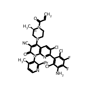 C=CC(=O)N1CCN(c2c(C#N)c(=O)n(-c3c(C)ccnc3C(C)C)c3nc(-c4c(Cl)c(N)c(F)c(F)c4Cl)c(Cl)cc23)C[C@H]1C